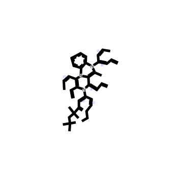 C=C/C=C1\C2=C(C)N(C(/C=C\C)=C/C=C)c3ccccc3B2C(/C=C\C)=C(C=C)N1C(/C=C\CCC)=C/C(=C)C(C)(C)CC(C)(C)C